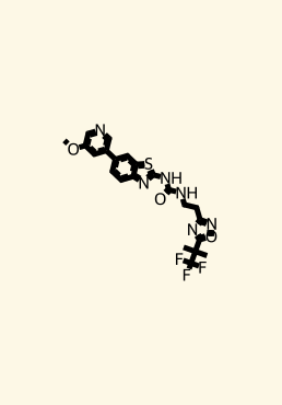 COc1cncc(-c2ccc3nc(NC(=O)NCCc4noc(C(C)(C)C(F)(F)F)n4)sc3c2)c1